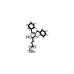 C[C@@H]([C@@H](O)CCC(=O)OC(C)(C)C)N(Cc1ccccc1)Cc1ccccc1